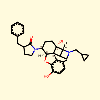 Cc1ccc(O)c2c1[C@]13C4CN(CC5CC5)[C@H]4[C@]1(O)CC[C@H](N1CCC(Cc4ccccc4)C1=O)[C@@H]3O2